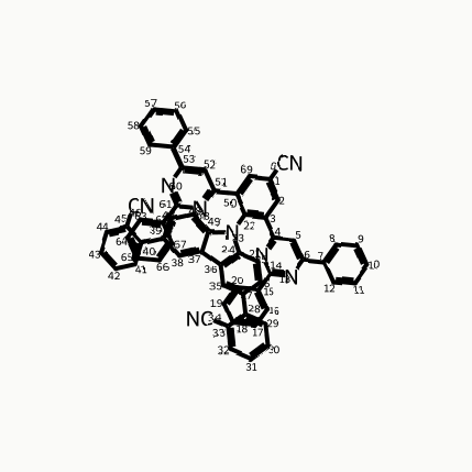 N#Cc1cc(-c2cc(-c3ccccc3)nc(-c3ccccc3)n2)c(-n2c3ccc(-c4ccccc4C#N)cc3c3cc(-c4ccccc4C#N)ccc32)c(-c2cc(-c3ccccc3)nc(-c3ccccc3)n2)c1